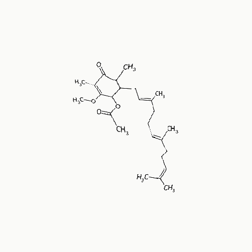 COC1=C(C)C(=O)C(C)C(C/C=C(\C)CC/C=C(\C)CCC=C(C)C)C1OC(C)=O